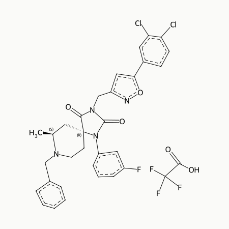 C[C@H]1C[C@]2(CCN1Cc1ccccc1)C(=O)N(Cc1cc(-c3ccc(Cl)c(Cl)c3)on1)C(=O)N2c1cccc(F)c1.O=C(O)C(F)(F)F